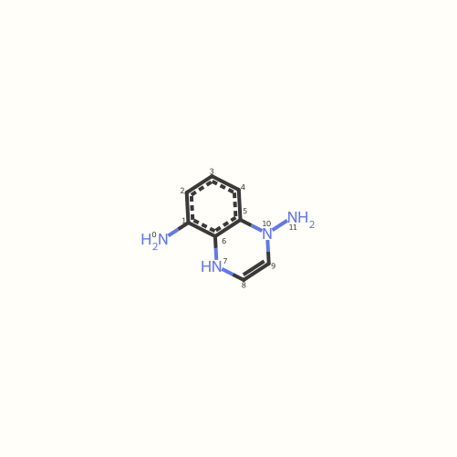 Nc1cccc2c1NC=CN2N